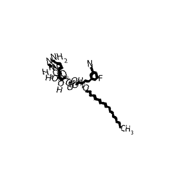 CCCCCCCCCCCCCCCCCCOC[C@@H](CCc1cc(F)cc(C#N)c1)COP(=O)(O)OC[C@H]1O[C@@](C)(c2ccc3c(N)ncnn23)[C@H](O)[C@@H]1O